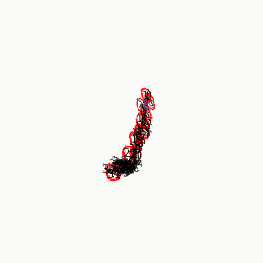 COC(=O)/C=C/C(=O)OCCOCCOCCOCCOC(=O)C(C)c1ccc2cc(OC)ccc2c1